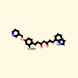 COc1cc(OCc2cccnc2)ccc1C=CC(=O)CC(=O)C=Cc1cccc2cc[nH]c12